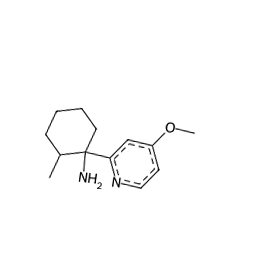 COc1ccnc(C2(N)CCCCC2C)c1